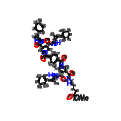 COC(=O)CCCCCNC(=O)[C@@H]1CN(C(=O)c2ccc(C(=O)N3C[C@@H](C(=O)N[C@H]4C[C@@H]4c4ccccc4)[C@H](C(=O)N[C@H]4C[C@@H]4c4ccccc4)C3)cc2)C[C@H]1C(=O)N[C@H]1C[C@@H]1c1ccccc1